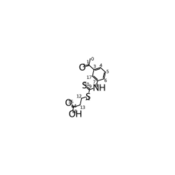 CC(=O)c1cccc(NC(=S)SCCC(=O)O)c1